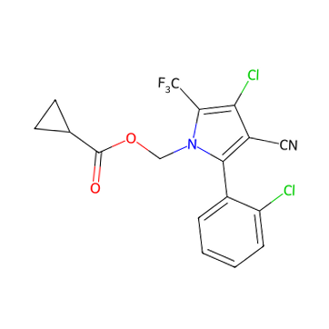 N#Cc1c(Cl)c(C(F)(F)F)n(COC(=O)C2CC2)c1-c1ccccc1Cl